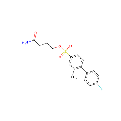 Cc1cc(S(=O)(=O)OCCCC(N)=O)ccc1-c1ccc(F)cc1